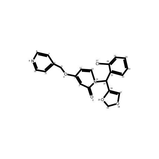 O=c1cc(OCc2ccncc2)ccn1C(C1=COCO1)c1ccccc1Cl